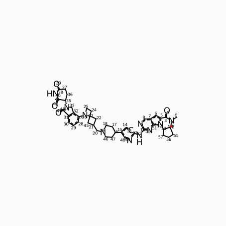 CN(C)C(=O)c1cc2cnc(Nc3ccc(C4CCN(CC5CC6(CCN6c6cccc7c6CN([C@@H]6CCC(=O)NC6=O)C7=O)C5)CC4)cn3)nc2n1C1CCCC1